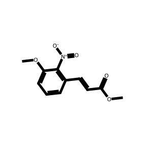 COC(=O)/C=C/c1cccc(OC)c1[N+](=O)[O-]